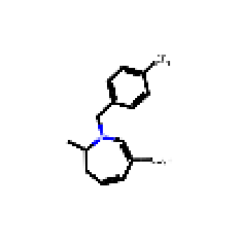 CC1CC=CC(C(=O)O)=CN1Cc1ccc(C(F)(F)F)cc1